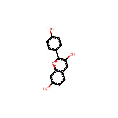 Oc1ccc(-c2[o+]c3cc(O)ccc3cc2O)cc1